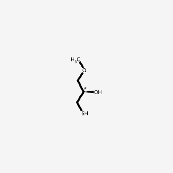 COC[C@@H](O)CS